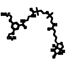 CCOC(=O)COc1cc(OCC(=O)OCC)cc(C(=O)NCCNC(=O)C(C)(C)CCOC(C)(C)CCNC(=O)CCCC[C@@H]2SC[C@@H]3NC(=O)N[C@@H]32)c1